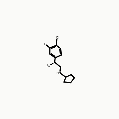 CC(=O)[C@H](CNC1CCCC1)c1ccc(Cl)c(F)c1